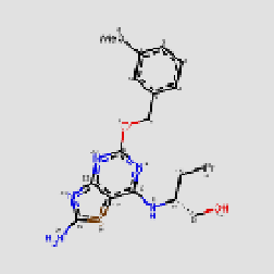 COc1cccc(COc2nc(N[C@@H](CO)CC(C)C)c3sc(N)nc3n2)c1